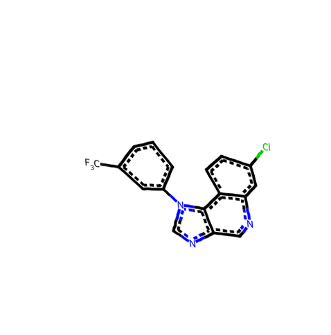 FC(F)(F)c1cccc(-n2cnc3cnc4cc(Cl)ccc4c32)c1